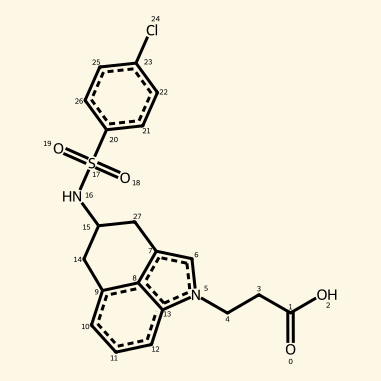 O=C(O)CCn1cc2c3c(cccc31)CC(NS(=O)(=O)c1ccc(Cl)cc1)C2